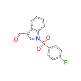 O=Cc1cn(S(=O)(=O)c2ccc(F)cc2)c2ccccc12